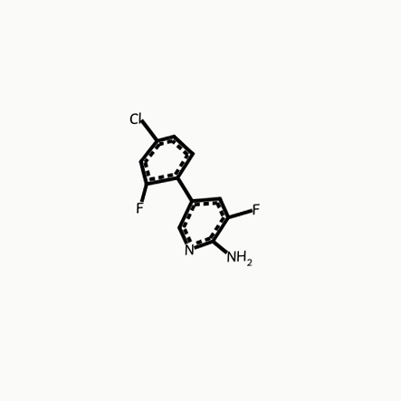 Nc1ncc(-c2ccc(Cl)cc2F)cc1F